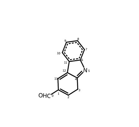 O=CC1=CCC2=Nc3ccccc3C2=C1